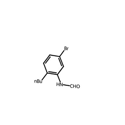 CCCCc1ccc(Br)cc1NC=O